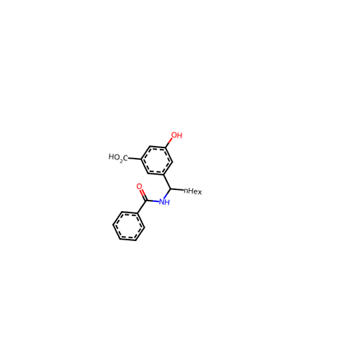 CCCCCCC(NC(=O)c1ccccc1)c1cc(O)cc(C(=O)O)c1